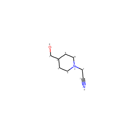 N#CCN1CCC(C[O])CC1